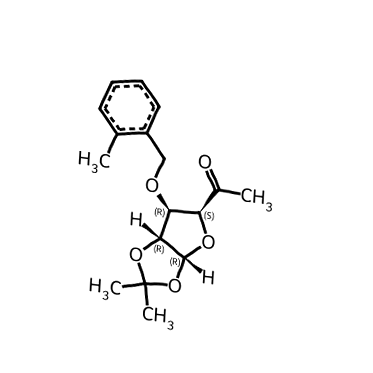 CC(=O)[C@H]1O[C@@H]2OC(C)(C)O[C@@H]2[C@H]1OCc1ccccc1C